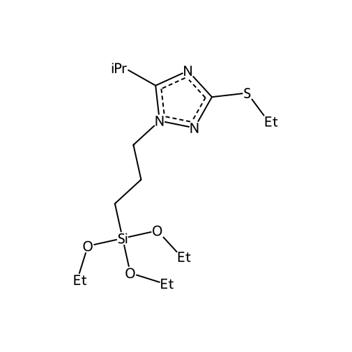 CCO[Si](CCCn1nc(SCC)nc1C(C)C)(OCC)OCC